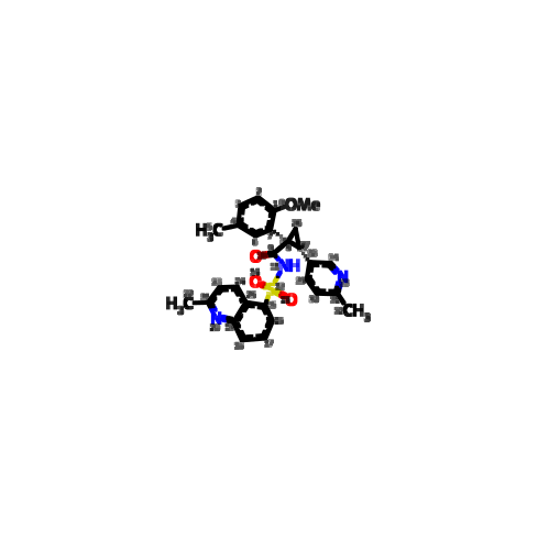 COc1ccc(C)cc1[C@]1(C(=O)NS(=O)(=O)c2cccc3nc(C)ccc23)C[C@@H]1c1ccc(C)nc1